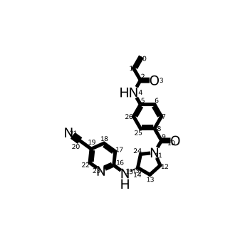 C=CC(=O)Nc1ccc(C(=O)N2CC[C@H](Nc3ccc(C#N)cn3)C2)cc1